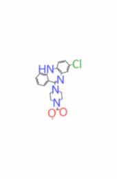 COC(=O)N1CCN(C2=Nc3cc(Cl)ccc3Nc3ccccc32)CC1